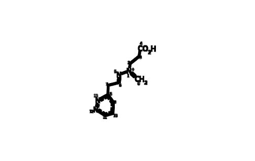 C=[N+](CCC(=O)O)/N=C/Cc1cccnn1